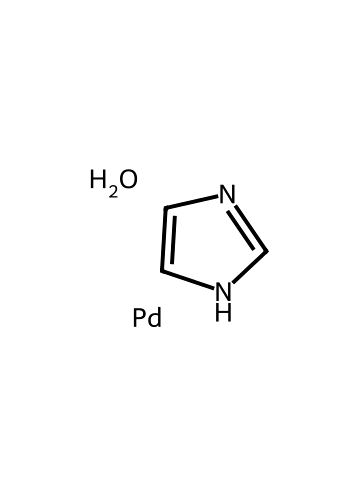 O.[Pd].c1c[nH]cn1